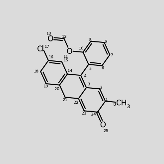 CC1=CC2=C(c3ccccc3OC=O)c3cc(Cl)ccc3CC2=CC1=O